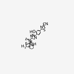 C[C@@]12CCC[C@@H](C[C@H](N(c3cnc(-c4ccc(-c5nc(C#N)cs5)cc4O)nn3)C3CC3)[C@@H]1F)N2